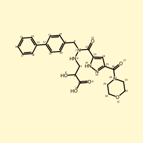 O=C(O)C(O)CNN(Cc1ccc(-c2ccccc2)cc1)C(=O)c1cc(C(=O)N2CCOCC2)n[nH]1